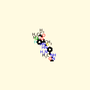 CC(Nc1ncco1)c1cccc(NC(=S)NC(C)(COC(=O)C(C)(C)C)c2ccc(F)c(Cl)c2)c1N